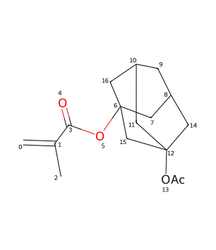 C=C(C)C(=O)OC12CC3CC(CC(OC(C)=O)(C3)C1)C2